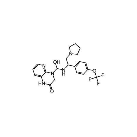 O=C1CN(C(O)NC(CN2CCCC2)c2ccc(OC(F)(F)F)cc2)c2ncccc2N1